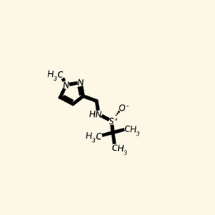 Cn1ccc(CN[S@+]([O-])C(C)(C)C)n1